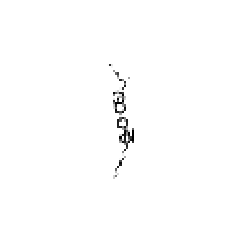 CCCCCCCCc1ccc(-c2ccc(-c3ccc(OCCC[C@@H](C)CCCCC)cc3)cc2)nc1